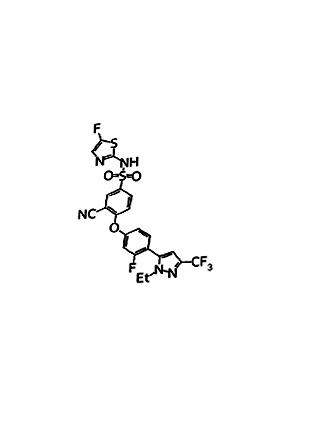 CCn1nc(C(F)(F)F)cc1-c1ccc(Oc2ccc(S(=O)(=O)Nc3ncc(F)s3)cc2C#N)cc1F